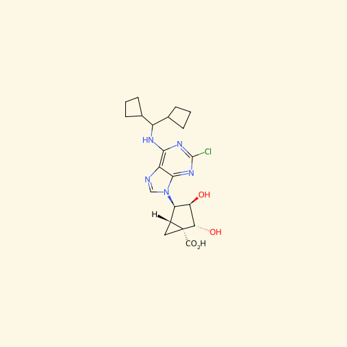 O=C(O)[C@]12C[C@@H]1[C@@H](n1cnc3c(NC(C4CCC4)C4CCC4)nc(Cl)nc31)[C@@H](O)[C@@H]2O